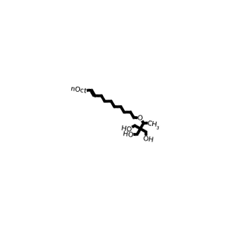 CCCCCCCCC=CCCCCCCCCOC(C)C(CO)(CO)CO